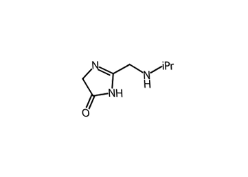 CC(C)NCC1=NCC(=O)N1